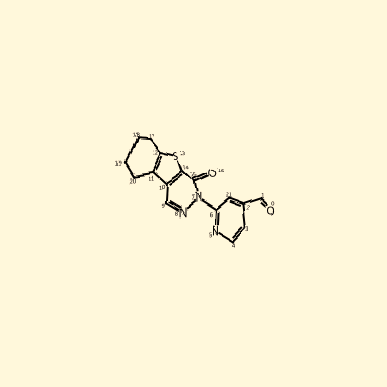 O=Cc1ccnc(-n2ncc3c4c(sc3c2=O)CCCC4)c1